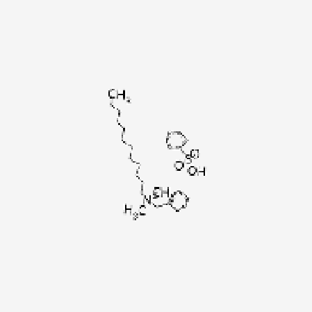 CCCCCCCCCCCC[N+](C)(C)Cc1ccccc1.O=S(=O)(O)c1ccccc1